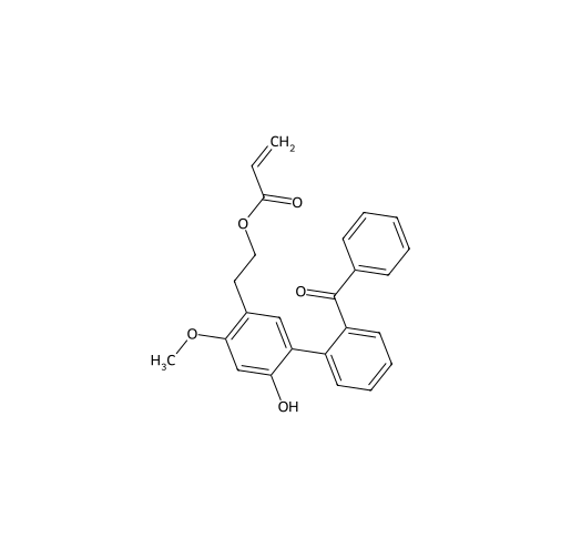 C=CC(=O)OCCc1cc(-c2ccccc2C(=O)c2ccccc2)c(O)cc1OC